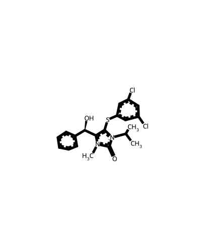 CC(C)n1c(Sc2cc(Cl)cc(Cl)c2)c([C@H](O)c2ccccc2)n(C)c1=O